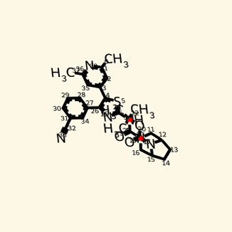 Cc1cc(-c2sc(NC(=O)N3CC4CCC(C3)N4C(=O)OC(C)(C)C)nc2-c2cccc(C#N)c2)cc(C)n1